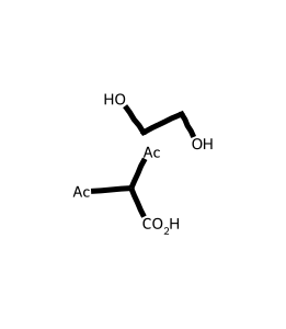 CC(=O)C(C(C)=O)C(=O)O.OCCO